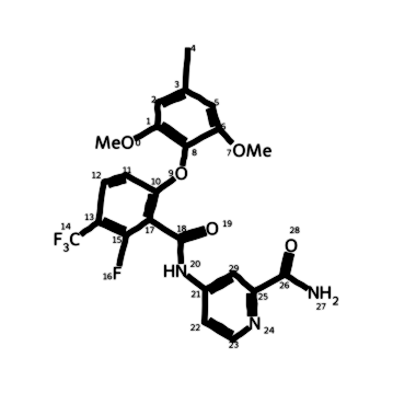 COc1cc(C)cc(OC)c1Oc1ccc(C(F)(F)F)c(F)c1C(=O)Nc1ccnc(C(N)=O)c1